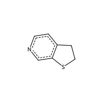 c1cc2c(cn1)SCC2